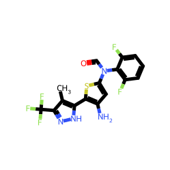 Cc1c(C(F)(F)F)n[nH]c1-c1sc(N(C=O)c2c(F)cccc2F)cc1N